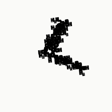 CC(C)C[C@H](N)C(=O)O.CC(C)[C@H](N)C(=O)O.CC[C@H](C)[C@H](N)C(=O)O.CSCC[C@H](N)C(=O)O.C[C@@H](O)[C@H](N)C(=O)O.NCCCC[C@H](N)C(=O)O.N[C@@H](CO)C(=O)O.N[C@@H](Cc1c[nH]c2ccccc12)C(=O)O.N[C@@H](Cc1ccc(O)cc1)C(=O)O.N[C@@H](Cc1ccccc1)C(=O)O.O=C(O)[C@@H]1CCCN1